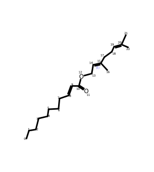 CCCCCCCCC=CC(=O)OC/C=C(\C)CCC=C(C)C